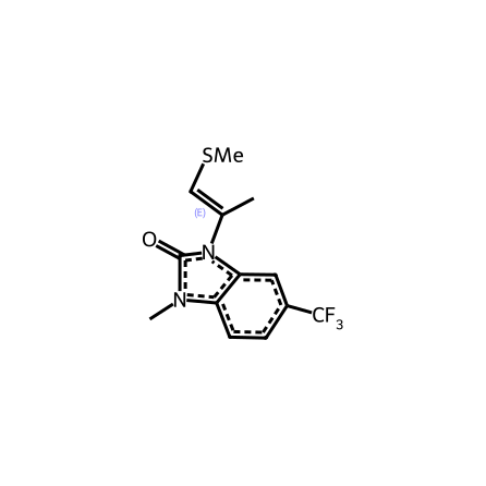 CS/C=C(\C)n1c(=O)n(C)c2ccc(C(F)(F)F)cc21